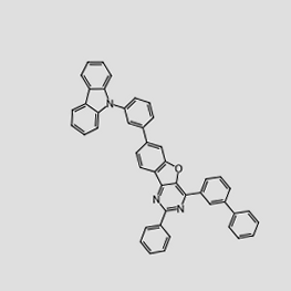 c1ccc(-c2cccc(-c3nc(-c4ccccc4)nc4c3oc3cc(-c5cccc(-n6c7ccccc7c7ccccc76)c5)ccc34)c2)cc1